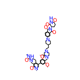 CNC(=O)N1CCc2c(-c3cc(OC)c(CN4CCN(CCC5CCN(c6ccc7c(c6)C(=O)N(C6CCC(=O)NC6=O)C7=O)CC5)CC4(C)C)c(OC)c3)cn(C)c(=O)c2C1